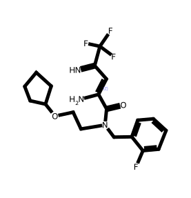 N=C(/C=C(\N)C(=O)N(CCOC1CCCC1)Cc1ccccc1F)C(F)(F)F